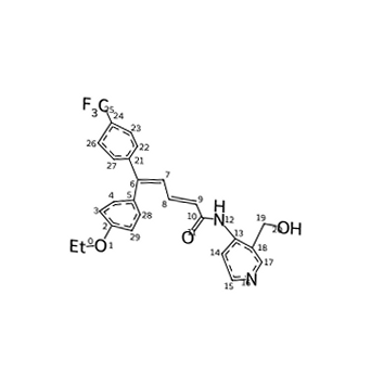 CCOc1ccc(/C(=C\C=C\C(=O)Nc2ccncc2CO)c2ccc(C(F)(F)F)cc2)cc1